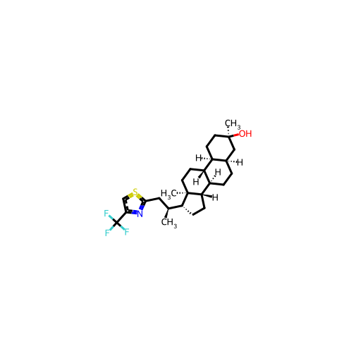 C[C@@H](Cc1nc(C(F)(F)F)cs1)[C@H]1CC[C@H]2[C@@H]3CC[C@@H]4C[C@](C)(O)CC[C@@H]4[C@H]3CC[C@]12C